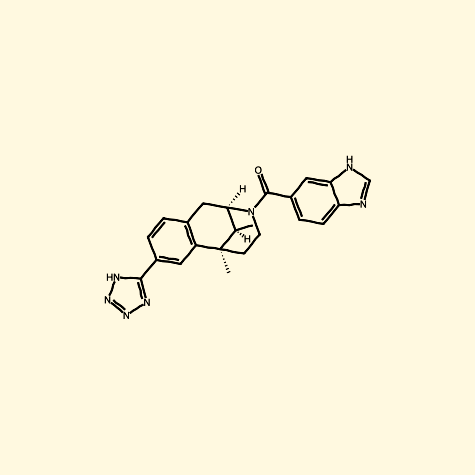 C[C@@H]1[C@H]2Cc3ccc(-c4nnn[nH]4)cc3[C@]1(C)CCN2C(=O)c1ccc2nc[nH]c2c1